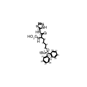 CC(C)(C)[Si](OCCCCC(NC(=O)O)C(=O)Nc1nnn[nH]1)(c1ccccc1)c1ccccc1